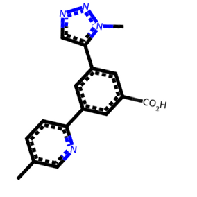 Cc1ccc(-c2cc(C(=O)O)cc(-c3cnnn3C)c2)nc1